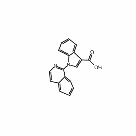 O=C(O)c1cn(-c2nccc3ccccc23)c2ccccc12